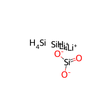 O=[Si]([O-])[O-].[Li+].[Li+].[SiH4].[SiH4]